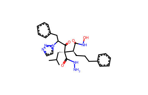 CC(C)C[C@](C(=O)NN)(C(=O)C(Cc1ccccc1)n1ccnn1)[C@H](CCCc1ccccc1)C(=O)NO